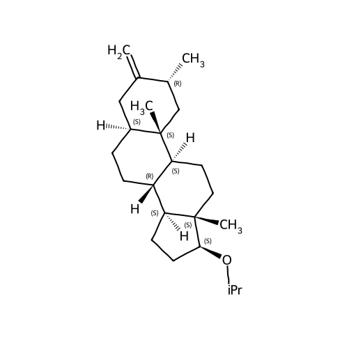 C=C1C[C@@H]2CC[C@@H]3[C@H](CC[C@]4(C)[C@@H](OC(C)C)CC[C@@H]34)[C@@]2(C)C[C@H]1C